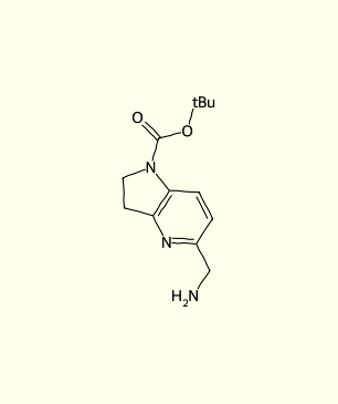 CC(C)(C)OC(=O)N1CCc2nc(CN)ccc21